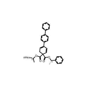 CCCCCC[C@H](C)OC(=O)C1(C(=O)O[C@@H](C)c2ccccc2)C=CC(c2ccc(-c3ccccc3)cc2)=CC1